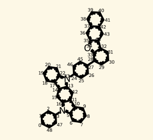 c1ccc(-n2c3ccccc3c3cc4c(cc32)c2ccccc2n4-c2ccc(-c3cccc4c3oc3cc5ccccc5cc34)cc2)cc1